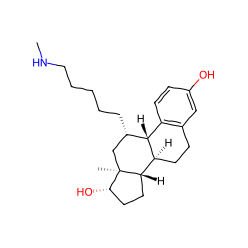 CNCCCCC[C@H]1C[C@]2(C)[C@@H](O)CC[C@H]2[C@@H]2CCc3cc(O)ccc3[C@@H]12